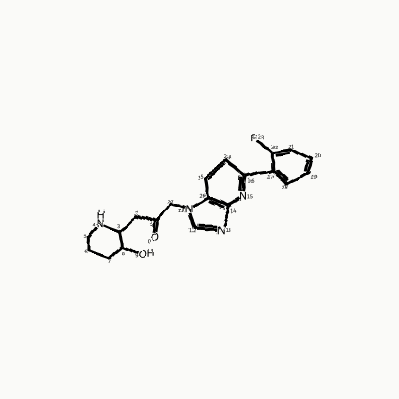 O=C(CC1NCCCC1O)Cn1cnc2nc(-c3ccccc3F)ccc21